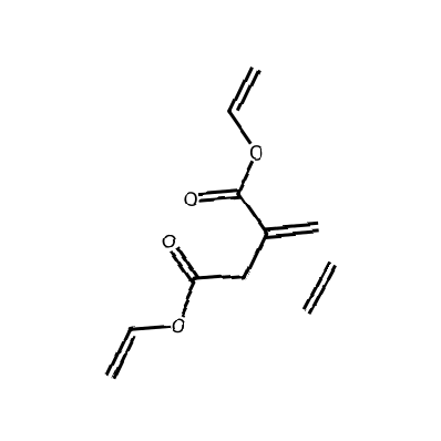 C=C.C=COC(=O)CC(=C)C(=O)OC=C